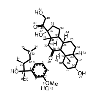 CC[C@](O)(c1cccc(OC)c1)[C@@H](C)CN(C)C.C[C@]12CC[C@@H](O)C[C@H]1CC[C@@H]1[C@@H]2C(=O)C[C@@]2(C)[C@H]1CC[C@]2(O)C(=O)CO.Cl